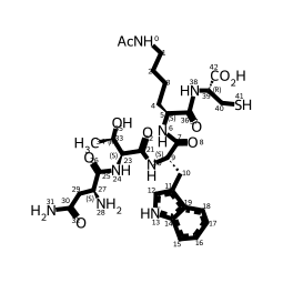 CC(=O)NCCCC[C@H](NC(=O)[C@H](Cc1c[nH]c2ccccc12)NC(=O)[C@@H](NC(=O)[C@@H](N)CC(N)=O)[C@@H](C)O)C(=O)N[C@@H](CS)C(=O)O